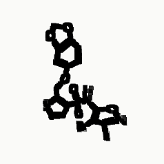 Cc1noc(NS(=O)(=O)c2ccsc2COc2ccc3c(c2)OCO3)c1Br